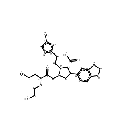 CCCON(CCC)C(=O)CN1C[C@H](c2ccc3c(c2)OCO3)[C@@H](C(=O)O)[C@@H]1CCc1ncc(C)o1